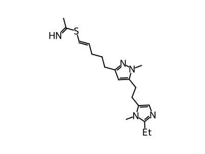 CCc1ncc(CCc2cc(CCC/C=C/SC(C)=N)nn2C)n1C